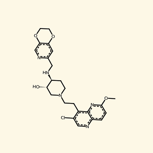 COc1ccc2ncc(Cl)c(CCN3CC[C@H](NCc4cc5c(cn4)OCCO5)[C@@H](O)C3)c2n1